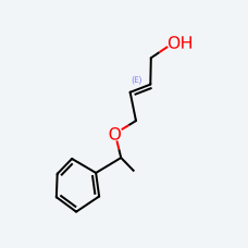 CC(OC/C=C/CO)c1ccccc1